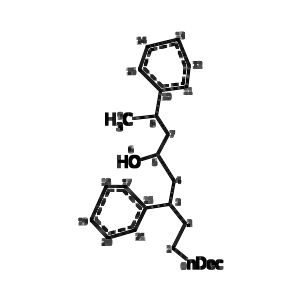 CCCCCCCCCCCCC(CC(O)CC(C)c1ccccc1)c1ccccc1